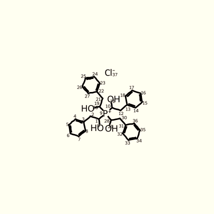 OC(Cc1ccccc1)[P+](C(O)Cc1ccccc1)(C(O)Cc1ccccc1)C(O)Cc1ccccc1.[Cl-]